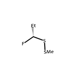 CC[C@@H](F)SSC